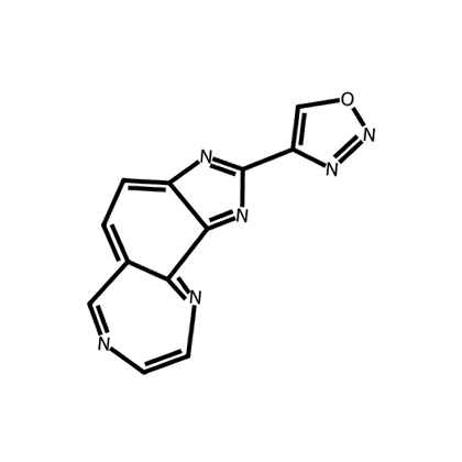 c1cnc2c(ccc3nc(-c4conn4)nc32)cn1